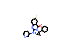 O=c1c2cc(F)ccc2nc(Nc2cccnc2)n1C1(c2ccccc2)CC1